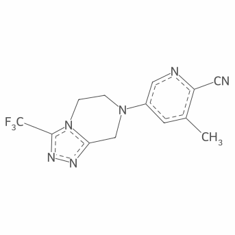 Cc1cc(N2CCn3c(nnc3C(F)(F)F)C2)cnc1C#N